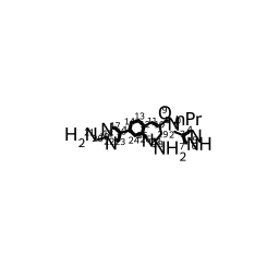 CCCN(Cc1cn[nH]c1)C(=O)C1=Cc2ccc(-c3cnc(CN)nc3)cc2N=C(N)C1